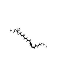 CCCC/C=C\C#CCCCCCCCOC(C)=O